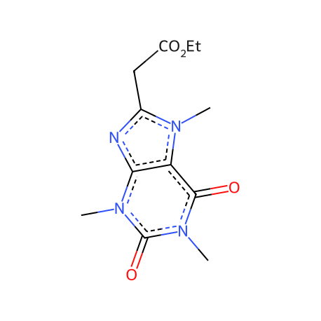 CCOC(=O)Cc1nc2c(c(=O)n(C)c(=O)n2C)n1C